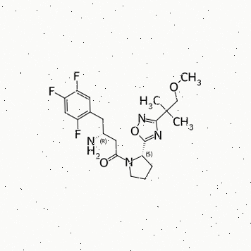 COCC(C)(C)c1noc([C@@H]2CCCN2C(=O)C[C@H](N)Cc2cc(F)c(F)cc2F)n1